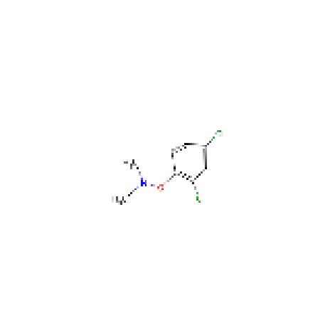 CN(C)Oc1ccc(Cl)cc1Cl